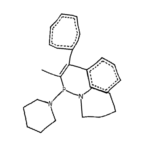 CC(=C(c1ccccc1)c1ccccc1)P(N1CCCCC1)N1CCCCC1